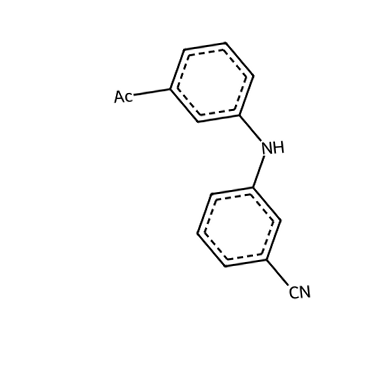 CC(=O)c1cccc(Nc2cccc(C#N)c2)c1